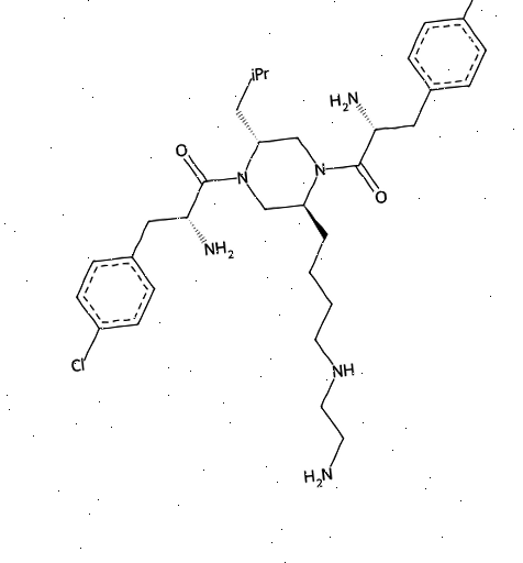 CC(C)C[C@@H]1CN(C(=O)[C@H](N)Cc2ccc(Cl)cc2)[C@@H](CCCCNCCN)CN1C(=O)[C@H](N)Cc1ccc(Cl)cc1